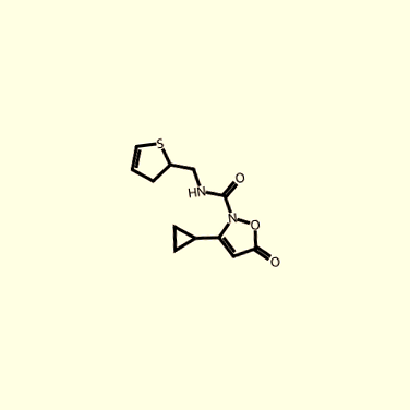 O=C(NCC1CC=CS1)n1oc(=O)cc1C1CC1